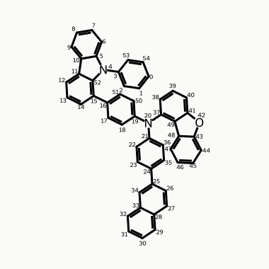 c1ccc(-n2c3ccccc3c3cccc(-c4ccc(N(c5ccc(-c6ccc7ccccc7c6)cc5)c5cccc6oc7ccccc7c56)cc4)c32)cc1